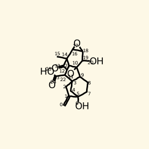 C=C1CC23CC1(O)CCC2C12OC(=O)C(C)(C4OC4C1O)C2C3C(=O)O